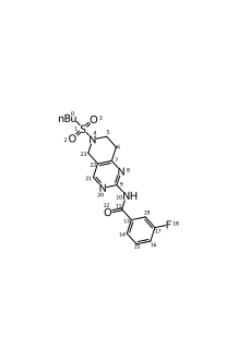 CCCCS(=O)(=O)N1CCc2nc(NC(=O)c3cccc(F)c3)ncc2C1